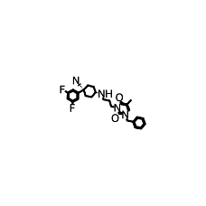 Cc1cn(Cc2ccccc2)c(=O)n(CCCN[C@H]2CC[C@](C#N)(c3cc(F)cc(F)c3)CC2)c1=O